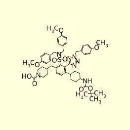 COc1ccc(CN(Cc2ccc(OC)cc2)S(=O)(=O)c2c(CC3CCN(C(=O)O)CC3)ccc(C3CCC(NC(=O)OC(C)(C)C)CC3)c2-c2nnn(Cc3ccc(OC)cc3)n2)cc1